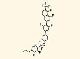 CCCc1ccc(C(F)(F)Oc2ccc(-c3cc(F)c(-c4cc(F)c5c(F)c(C(F)(F)F)ccc5c4)c(F)c3)cc2)c(F)c1F